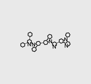 c1ccc(-c2cc(-c3ccccc3)nc(-n3c4ccccc4c4cc(-c5ccc6c(c5)c5ccccc5n6-c5cncc(-c6ccc7c(c6)c6ncccc6n7-c6ccccc6)c5)ccc43)c2)cc1